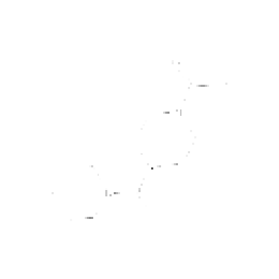 O=C(O)N1CCN(C(=O)N2CCOCC2)CC1